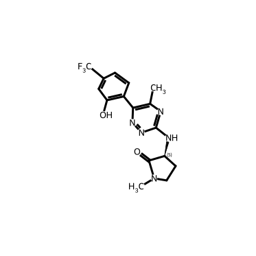 Cc1nc(N[C@H]2CCN(C)C2=O)nnc1-c1ccc(C(F)(F)F)cc1O